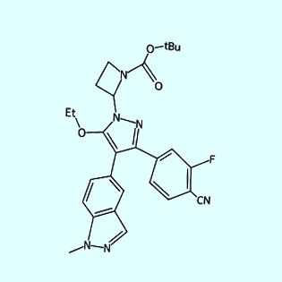 CCOc1c(-c2ccc3c(cnn3C)c2)c(-c2ccc(C#N)c(F)c2)nn1C1CCN1C(=O)OC(C)(C)C